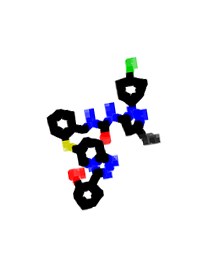 CC(C)(C)c1cc(NC(=O)NCc2ccccc2Sc2ccc3nnc(-c4ccccc4O)n3c2)n(-c2ccc(Cl)cc2)n1